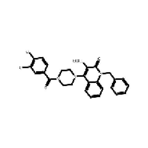 CCOC(=O)c1c(N2CCN(C(=O)c3ccc(Cl)c(Cl)c3)CC2)c2ccccc2n(Cc2ccccc2)c1=O